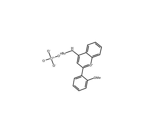 CCCCNc1cc(-c2ccccc2OC)[o+]c2ccccc12.[O-][Cl+3]([O-])([O-])[O-]